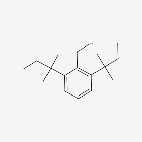 [CH2]Cc1c(C(C)(C)CC)cccc1C(C)(C)CC